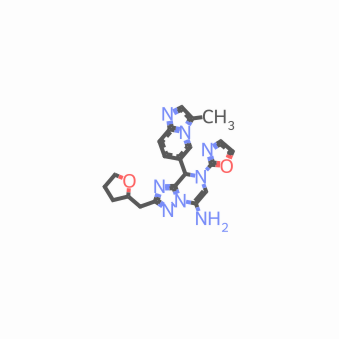 Cc1cnc2ccc(C3c4nc(CC5CCCO5)nn4C(N)=CN3c3ncco3)cn12